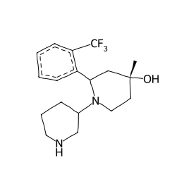 C[C@@]1(O)CCN(C2CCCNC2)C(c2ccccc2C(F)(F)F)C1